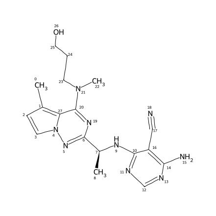 Cc1ccn2nc([C@H](C)Nc3ncnc(N)c3C#N)nc(N(C)CCCO)c12